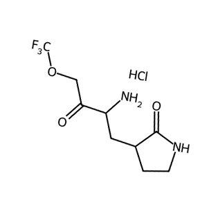 Cl.NC(CC1CCNC1=O)C(=O)COC(F)(F)F